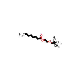 CCCCCCCC(=O)OCCOCC(C)(C)C